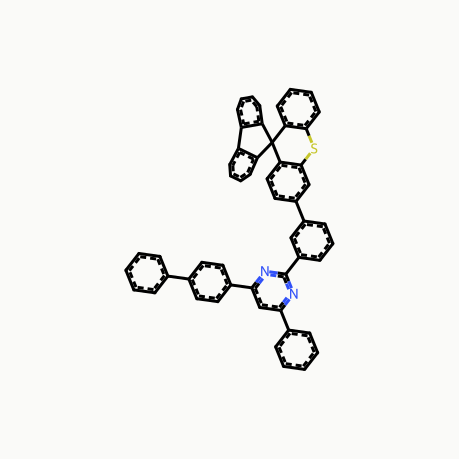 c1ccc(-c2ccc(-c3cc(-c4ccccc4)nc(-c4cccc(-c5ccc6c(c5)Sc5ccccc5C65c6ccccc6-c6ccccc65)c4)n3)cc2)cc1